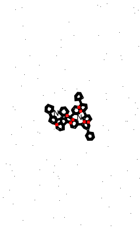 c1ccc(-c2ccc(-c3ccccc3N(c3ccccc3-c3cccc(-c4ccccc4)c3)c3ccccc3-c3ccc4c(c3)C3(c5ccccc5-4)c4ccccc4-n4c5ccccc5c5cccc3c54)cc2)cc1